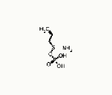 C=CCSOP(=O)(O)O.N